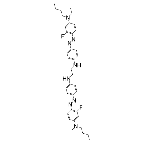 CCCCN(C)c1ccc(/N=N/c2ccc(NCCNc3ccc(/N=N/c4ccc(N(CC)CCCC)cc4F)cc3)cc2)c(F)c1